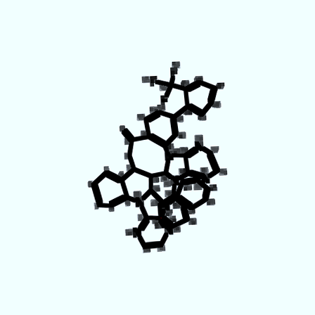 C=C1CC2c3ccccc3N3c4nccnc4N(c4ccccc4)C3C2C2N(c3ccccc3)c3nccnc3N2c2cc(-c3ccccc3C(F)(F)F)ccc21